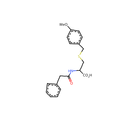 COc1ccc(CSCC(NC(=O)Cc2ccccc2)C(=O)O)cc1